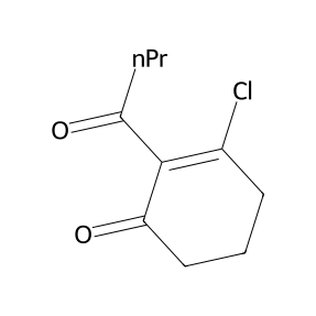 CCCC(=O)C1=C(Cl)CCCC1=O